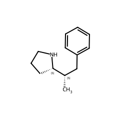 C[C@@H](Cc1ccccc1)[C@@H]1CCCN1